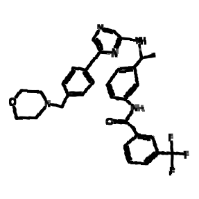 C[C@H](Nc1cncc(-c2ccc(CN3CCOCC3)cc2)n1)c1cccc(NC(=O)c2cccc(C(F)(F)F)c2)c1